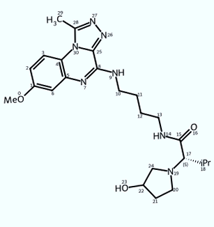 COc1ccc2c(c1)nc(NCCCCNC(=O)[C@H](C(C)C)N1CCC(O)C1)c1nnc(C)n12